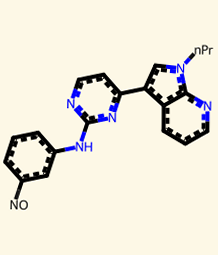 CCCn1cc(-c2ccnc(Nc3cccc(N=O)c3)n2)c2cccnc21